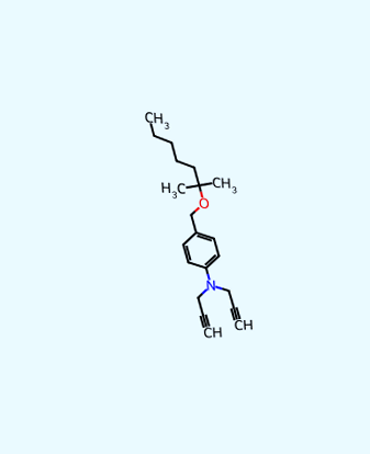 C#CCN(CC#C)c1ccc(COC(C)(C)CCCCC)cc1